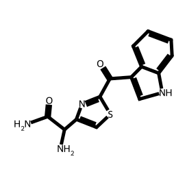 NC(=O)C(N)c1csc(C(=O)c2c[nH]c3ccccc23)n1